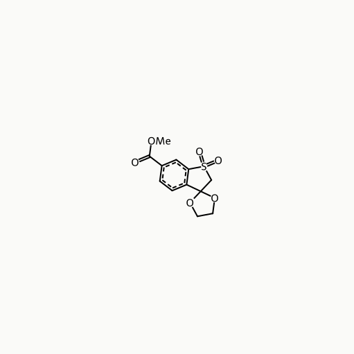 COC(=O)c1ccc2c(c1)S(=O)(=O)CC21OCCO1